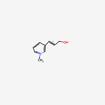 C[n+]1cccc(/C=C/CO)c1